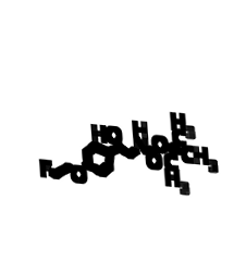 CC(C)(C)OC(=O)NCC(O)c1ccc(OCCF)cc1